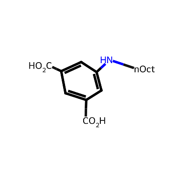 CCCCCCCCNc1cc(C(=O)O)cc(C(=O)O)c1